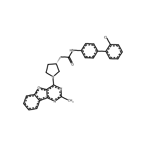 Cc1nc(N2CC[C@H](CC(=O)Nc3ccc(-c4ccccc4Cl)cc3)C2)c2oc3ccccc3c2n1